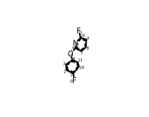 Fc1ccc(Oc2cccc(F)n2)cc1